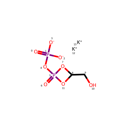 O=P([O-])([O-])OP1(=O)OC(CO)O1.[K+].[K+]